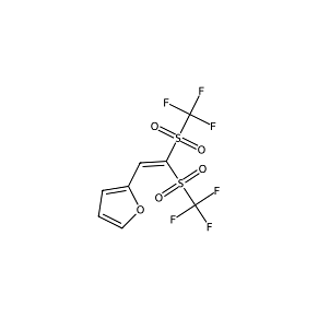 O=S(=O)(C(=Cc1ccco1)S(=O)(=O)C(F)(F)F)C(F)(F)F